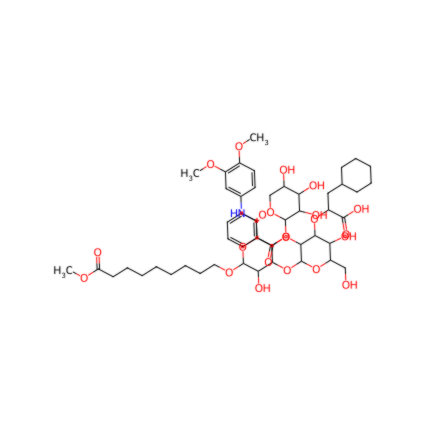 COC(=O)CCCCCCCCOC1OC(C(=O)Nc2ccc(OC)c(OC)c2)C(OC2OCC(O)C(O)C2O)C(OC2OC(CO)C(O)C(OC(CC3CCCCC3)C(=O)O)C2OC(=O)c2ccccc2)C1O